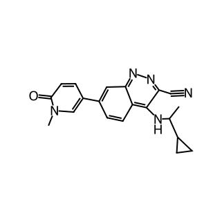 CC(Nc1c(C#N)nnc2cc(-c3ccc(=O)n(C)c3)ccc12)C1CC1